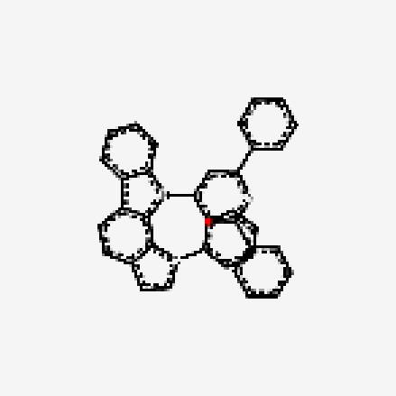 c1ccc(-c2cc(-n3c4ccccc4c4ccc5ccn(-c6ccccc6)c5c43)cc(-c3ccccc3)n2)cc1